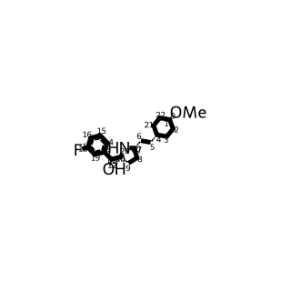 CO[C@H]1CC[C@H](CC[C@@H]2CC[C@H]([C@H](O)c3cccc(F)c3)N2)CC1